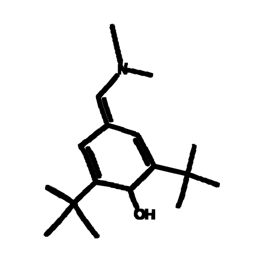 CN(C)C=C1C=C(C(C)(C)C)C(O)C(C(C)(C)C)=C1